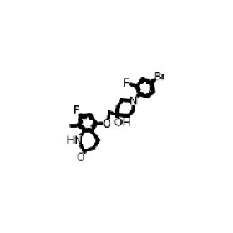 Cc1c(F)cc(OCC2(O)CCN(c3ccc(Br)cc3F)CC2)c2c1NC(=O)CC2